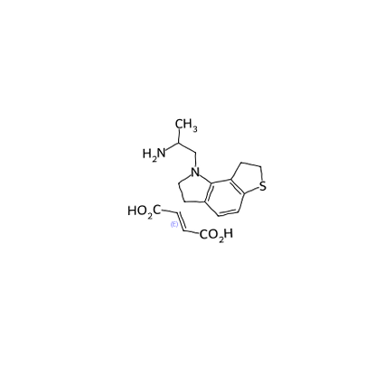 CC(N)CN1CCc2ccc3c(c21)CCS3.O=C(O)/C=C/C(=O)O